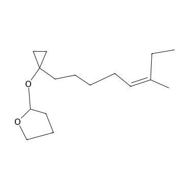 CCC(C)=CCCCCC1(OC2CCCO2)CC1